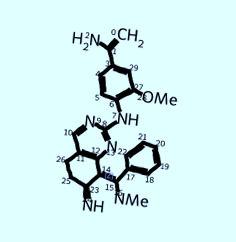 C=C(N)c1ccc(Nc2ncc3c(n2)/C(=C(/NC)c2ccccc2)C(=N)CC3)c(OC)c1